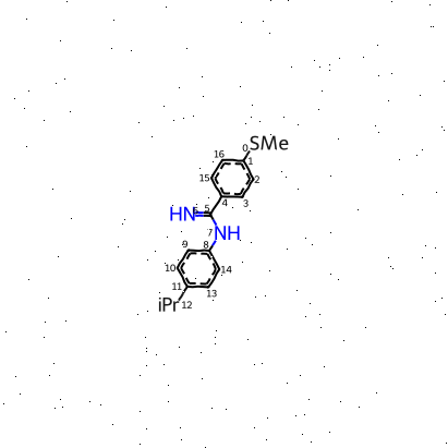 CSc1ccc(C(=N)Nc2ccc(C(C)C)cc2)cc1